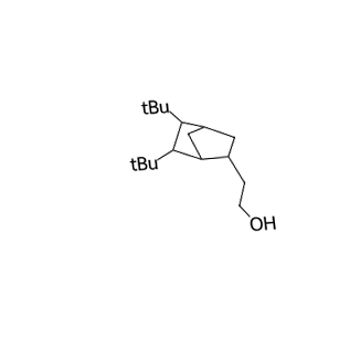 CC(C)(C)C1C2CC(CCO)C(C2)C1C(C)(C)C